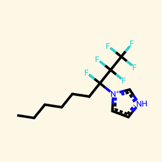 CCCCCCC(F)([n+]1cc[nH]c1)C(F)(F)C(F)(F)F